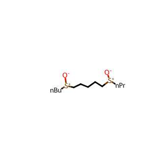 CCCC[S+]([O-])CCCCC[S+]([O-])CCC